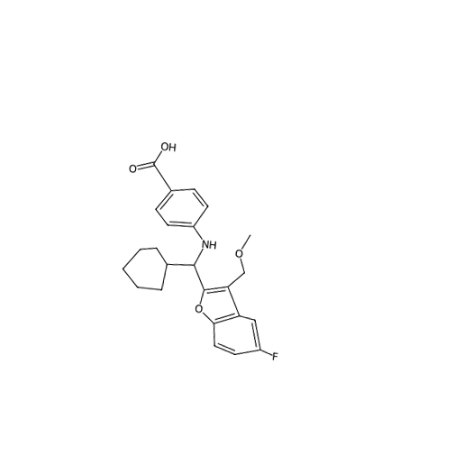 COCc1c(C(Nc2ccc(C(=O)O)cc2)C2CCCCC2)oc2ccc(F)cc12